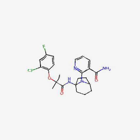 CC(C)(Oc1ccc(F)cc1Cl)C(=O)NC12CCCC(CC1)N2c1ncccc1C(N)=O